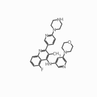 Cc1c(-c2ccc(N3CCNCC3)nc2)nc2cccc(F)c2c1Nc1cncc(N2CCOCC2)c1